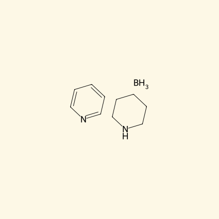 B.C1CCNCC1.c1ccncc1